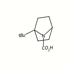 CC(C)(C)C12CCC(CC1)N2C(=O)O